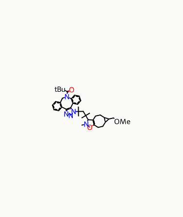 COCC1C2CCC3=C(CCC21)C(C(C)(C)CC(C)(C)n1nnc2c1-c1ccccc1N(C(=O)C(C)(C)C)Cc1ccccc1-2)N(C)O3